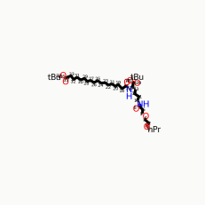 CCCOCCOCCC(=O)NCCCC[C@H](NC(=O)CCCCCCCCCCCCCCCCC(=O)OC(C)(C)C)C(=O)OC(C)(C)C